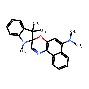 CN(C)c1cc2c(c3ccccc13)N=CC1(O2)N(C)c2ccccc2C1(C)C